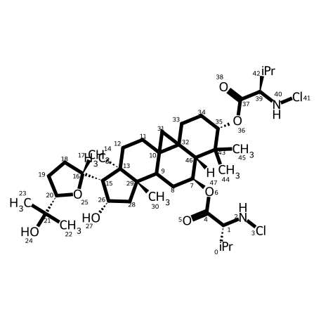 CC(C)[C@@H](NCl)C(=O)O[C@H]1CC2C3(CC[C@]4(C)[C@@H]([C@@]5(C)CC[C@@H](C(C)(C)O)O5)[C@@H](O)C[C@@]24C)CC32CC[C@H](OC(=O)[C@H](NCl)C(C)C)C(C)(C)[C@H]12